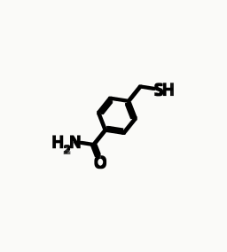 NC(=O)c1ccc(CS)cc1